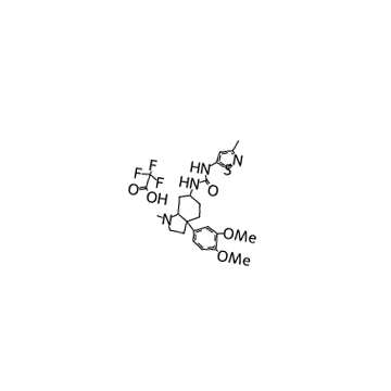 COc1ccc(C23CCC(NC(=O)Nc4cc(C)ns4)CC2N(C)CC3)cc1OC.O=C(O)C(F)(F)F